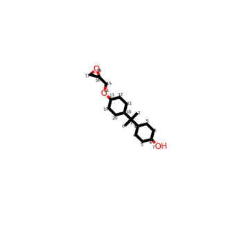 CC(C)(C1CCC(O)CC1)C1CCC(OCC2CO2)CC1